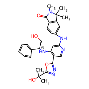 CN1C(=O)c2ccc(Nc3cc(N[C@H](CO)c4ccccc4)c(-c4nnc(C(C)(C)O)o4)cn3)cc2C1(C)C